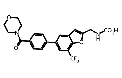 O=C(O)NCc1cc2cc(-c3ccc(C(=O)N4CCOCC4)cc3)cc(C(F)(F)F)c2o1